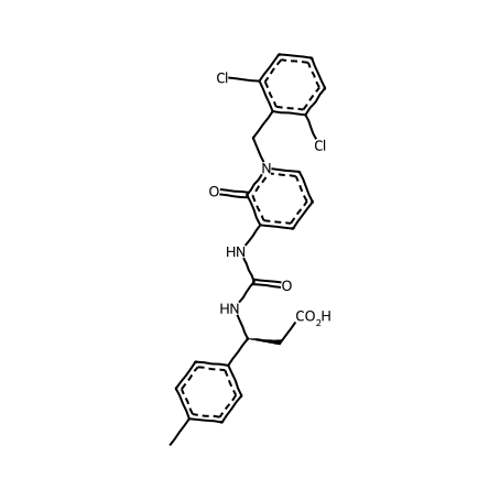 Cc1ccc([C@H](CC(=O)O)NC(=O)Nc2cccn(Cc3c(Cl)cccc3Cl)c2=O)cc1